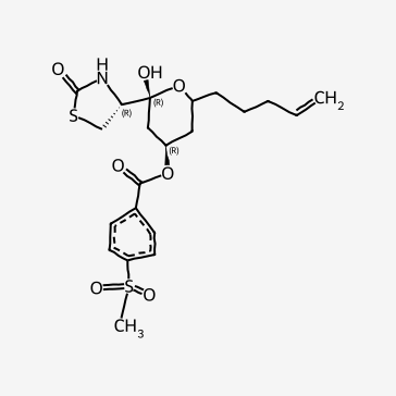 C=CCCCC1C[C@@H](OC(=O)c2ccc(S(C)(=O)=O)cc2)C[C@](O)([C@@H]2CSC(=O)N2)O1